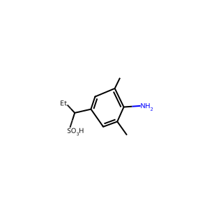 CCC(c1cc(C)c(N)c(C)c1)S(=O)(=O)O